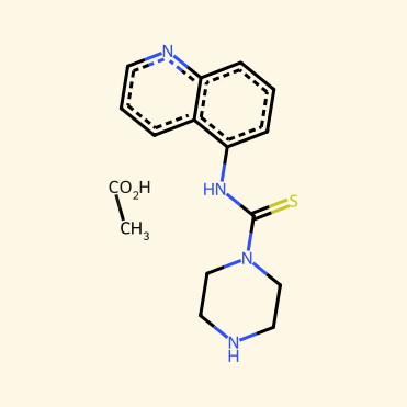 CC(=O)O.S=C(Nc1cccc2ncccc12)N1CCNCC1